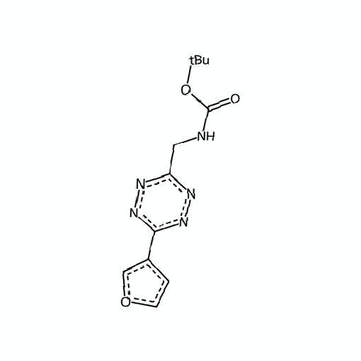 CC(C)(C)OC(=O)NCc1nnc(-c2ccoc2)nn1